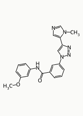 COc1cccc(NC(=O)c2cccc(-n3cc(-c4cncn4C)nn3)c2)c1